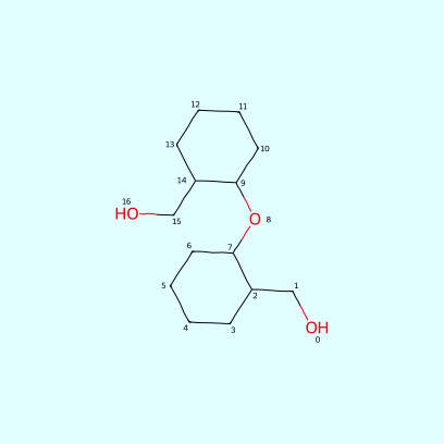 OCC1CCCCC1OC1CCCCC1CO